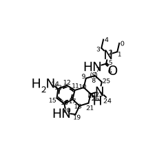 CCN(CC)C(=O)N[C@H]1CC2c3cc(N)cc4c3C(CN4)C[C@H]2N(C)C1